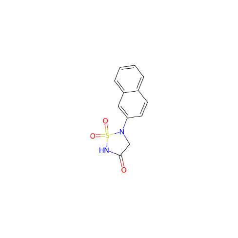 O=C1CN(c2ccc3ccccc3c2)S(=O)(=O)N1